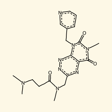 CN(C)CCC(=O)N(C)Cc1nnc2c(n1)c(=O)n(C)c(=O)n2Cc1cccnc1